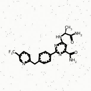 C[C@H](Nc1cc(C(N)=O)nc(-c2ccc(Cc3ccc(C(F)(F)F)cn3)cc2)n1)C(N)=O